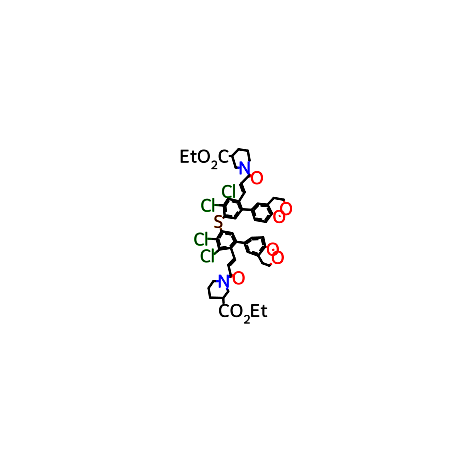 CCOC(=O)C1CCCN(C(=O)/C=C/c2c(-c3ccc4c(c3)CCOO4)cc(Sc3cc(-c4ccc5c(c4)CCOO5)c(/C=C/C(=O)N4CCCC(C(=O)OCC)C4)c(Cl)c3Cl)c(Cl)c2Cl)C1